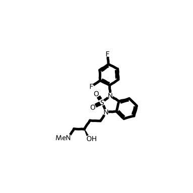 CNC[C@H](O)CCN1c2ccccc2N(c2ccc(F)cc2F)S1(=O)=O